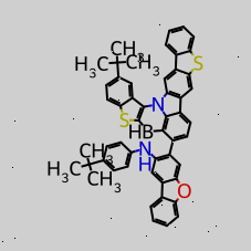 CC(C)(C)c1ccc(Nc2cc3c(cc2-c2ccc4c5cc6sc7ccccc7c6cc5n5c4c2Bc2sc4ccc(C(C)(C)C)cc4c2-5)oc2ccccc23)cc1